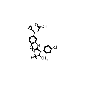 C[C@H]([C@@H](C(=O)Nc1cc([C@@H](CC(=O)O)C2CC2)ccc1Cl)c1ccc(Cl)cc1)C(F)(F)F